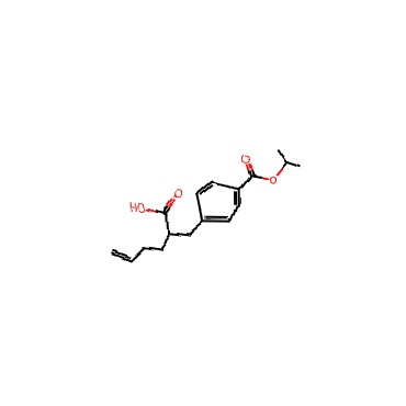 C=CCCC(Cc1ccc(C(=O)OC(C)C)cc1)C(=O)O